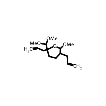 C=CCC1CCC(CC=C)(C(OC)OC)OC1OC